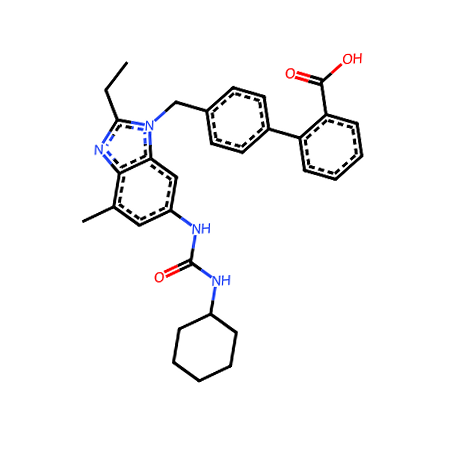 CCc1nc2c(C)cc(NC(=O)NC3CCCCC3)cc2n1Cc1ccc(-c2ccccc2C(=O)O)cc1